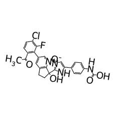 CC(=O)c1ccc(Cl)c(F)c1-c1cc2c([n+]([O-])c1)C(O)(c1ncc(-c3ccc(NC(=O)O)cc3)[nH]1)CC2